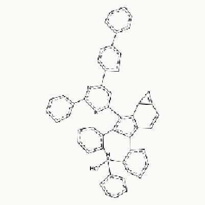 O[PH]1(c2ccccc2)c2ccccc2-c2c3c(n(-c4cc(-c5ccc(-c6ccccc6)cc5)nc(-c5ccccc5)n4)c2-c2ccccc21)C1C=C1C=C3